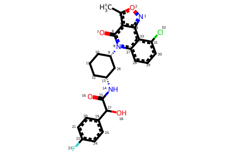 Cc1onc2c1c(=O)n([C@H]1CCC[C@@H](NC(=O)C(O)c3ccc(F)cc3)C1)c1cccc(Cl)c21